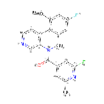 COc1cc(F)ccc1-c1ccncc1N(C)C(=O)c1cc(Cl)nc(C(F)(F)F)c1